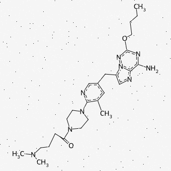 CCCCOc1nc(N)c2ncc(Cc3cnc(N4CCN(C(=O)CCCN(C)C)CC4)c(C)c3)n2n1